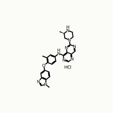 Cc1cc(Nc2ncnc3cnc(N4CCN[C@H](C)C4)nc23)ccc1Oc1ccc2c(c1)ncn2C.Cl